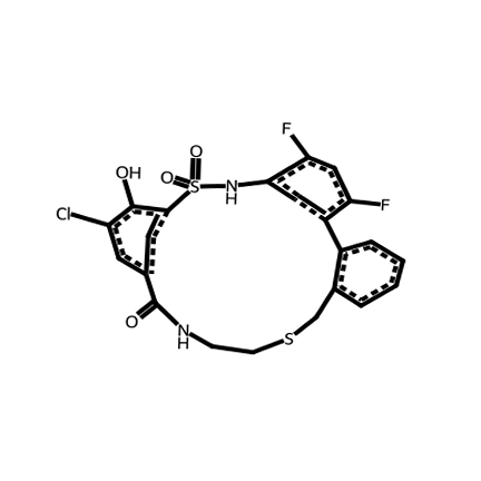 O=C1NCCSCc2ccccc2-c2cc(c(F)cc2F)NS(=O)(=O)c2cc1cc(Cl)c2O